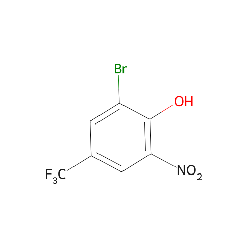 O=[N+]([O-])c1cc(C(F)(F)F)cc(Br)c1O